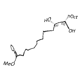 CCCCCCCC[C@H](O)[C@@H](O)CCCCCCCC(=O)OC